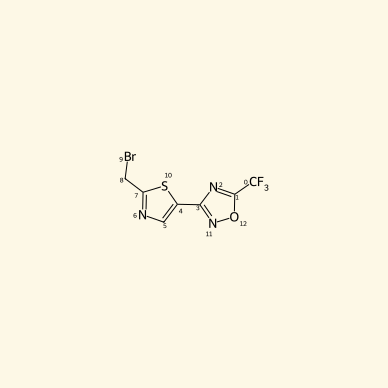 FC(F)(F)c1nc(-c2cnc(CBr)s2)no1